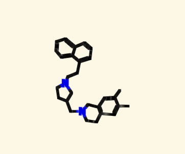 Cc1cc2c(cc1C)CN(CC1CCN(CCc3cccc4ccccc34)C1)CC2